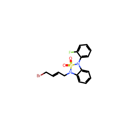 O=S1(=O)N(C/C=C/CBr)c2ccccc2N1c1ccccc1F